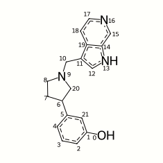 Oc1cccc(C2CCN(Cc3c[nH]c4cnccc34)C2)c1